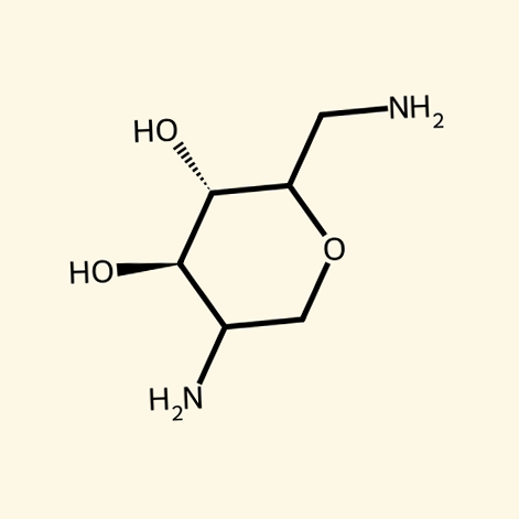 NCC1OCC(N)[C@@H](O)[C@@H]1O